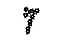 c1ccc(-c2nc3c4c(-c5ccc(-c6ccc7cc(-c8ccc9ccccc9c8)ccc7c6)cc5)nc5ccccc5c4ccc3n2-c2ccccc2)cc1